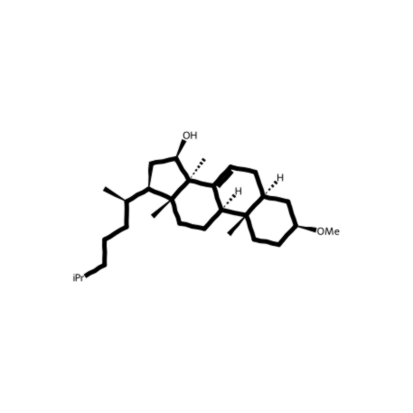 CO[C@H]1CC[C@@]2(C)[C@@H](CC=C3[C@@H]2CC[C@]2(C)[C@@H]([C@H](C)CCCC(C)C)C[C@@H](O)[C@@]32C)C1